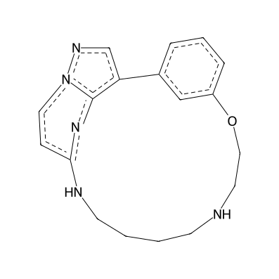 c1cc2cc(c1)-c1cnn3ccc(nc13)NCCCCNCCO2